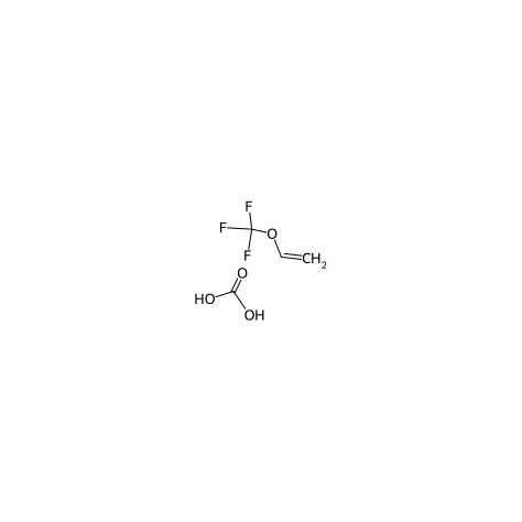 C=COC(F)(F)F.O=C(O)O